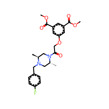 COC(=O)c1cc(OCC(=O)N2C[C@H](C)N(Cc3ccc(F)cc3)C[C@H]2C)cc(C(=O)OC)c1